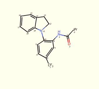 CC(C)C(=O)Nc1cc(C(F)(F)F)ccc1N1CCc2ccccc21